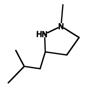 CC(C)CC1CCN(C)N1